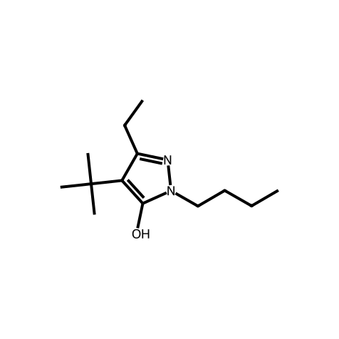 CCCCn1nc(CC)c(C(C)(C)C)c1O